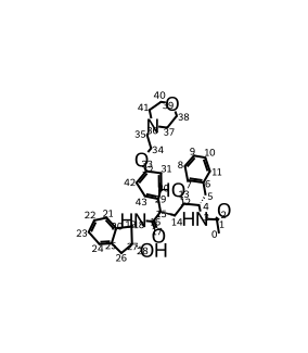 CC(=O)N[C@@H](Cc1ccccc1)[C@@H](O)C[C@@H](C(=O)N[C@H]1c2ccccc2C[C@H]1O)c1ccc(OCCN2CCOCC2)cc1